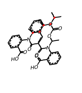 CCOC(=O)OC(C)N(C(=O)C(=Cc1ccccc1)C(=O)N(c1ccccc1C(=O)O)C(C)OC(=O)OCC)c1ccccc1C(=O)O